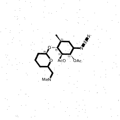 CNCC1CCC[C@@H](O[C@H]2[C@H](OC(C)=O)[C@@H](OC(C)=O)C(N=[N+]=[N-])C[C@@H]2C)O1